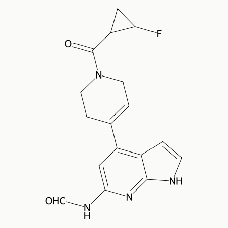 O=CNc1cc(C2=CCN(C(=O)C3CC3F)CC2)c2cc[nH]c2n1